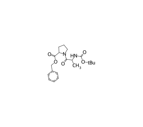 CC(NC(=O)OC(C)(C)C)C(=O)N1CCCC1C(=O)OCc1ccccc1